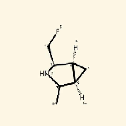 CC1N[C@@H](CF)[C@H]2C[C@@H]12